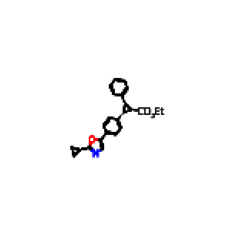 CCOC(=O)[C@@H]1[C@H](c2ccccc2)[C@H]1c1ccc(-c2cnc(C3CC3)o2)cc1